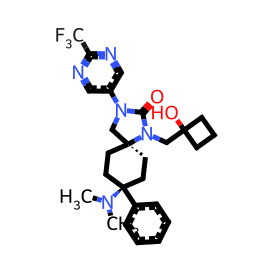 CN(C)[C@]1(c2ccccc2)CC[C@]2(CC1)CN(c1cnc(C(F)(F)F)nc1)C(=O)N2CC1(O)CCC1